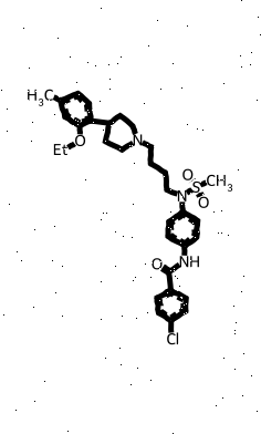 CCOc1cc(C)ccc1C1CCN(CCCCN(c2ccc(NC(=O)c3ccc(Cl)cc3)cc2)S(C)(=O)=O)CC1